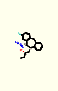 CC[C@H](O)C[C@@H]1c2ccccc2Cc2ccc(F)cc2[C@H]1N=[N+]=[N-]